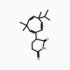 CC(C)C1(C)/C=C\C(C2CCC(=O)NC2=O)=C/C(C)(C)/C=C\1